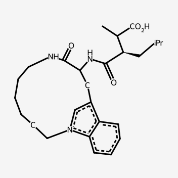 CC(C)C[C@@H](C(=O)NC1Cc2cn(c3ccccc23)CCCCCCNC1=O)C(C)C(=O)O